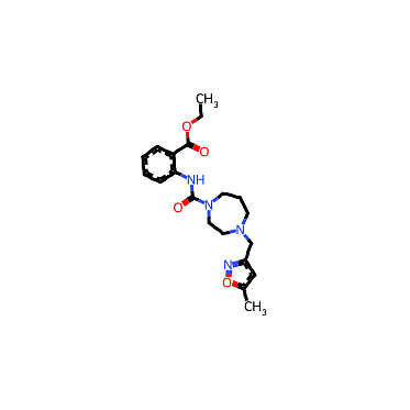 CCOC(=O)c1ccccc1NC(=O)N1CCCN(Cc2cc(C)on2)CC1